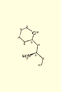 CC[C@@H](N)CC1CCCCO1